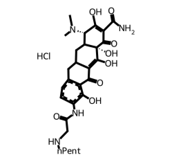 CCCCCNCC(=O)Nc1ccc2c(c1O)C(=O)C1=C(O)[C@]3(O)C(=O)C(C(N)=O)=C(O)[C@@H](N(C)C)C3CC1C2.Cl